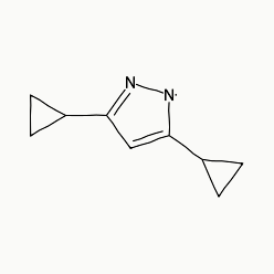 C1=C(C2CC2)[N]N=C1C1CC1